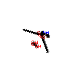 CCCCCCCCCCCCCCCC(=O)Oc1cc2c(cc1OC(=O)CCCCCCCCCCCCCCC)C(CSc1cccs1)NCC2.O=C(O)/C=C/C(=O)O